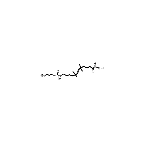 CC(C)(C)CCCCC(=O)NCCCCC(C)(C)CCC(C)(C)CCCC(=O)NC(C)(C)C